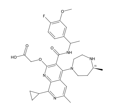 COc1cc(C(C)NC(=O)c2c(OCC(=O)O)nc3c(C4CC4)nc(C)cc3c2N2CCN[C@@H](C)CC2)ccc1F